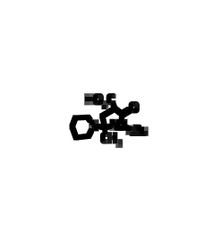 CC(C)(C)OC(=O)C(CC(C)(N)N1CCCCC1)C(=O)O